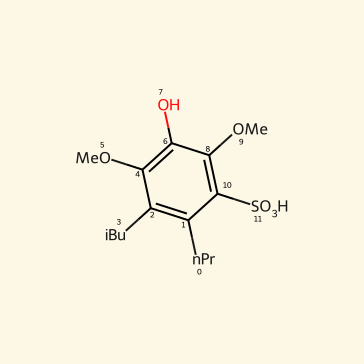 CCCc1c(C(C)CC)c(OC)c(O)c(OC)c1S(=O)(=O)O